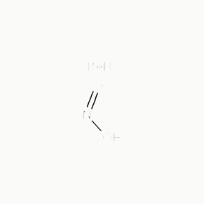 O=NO.[BeH2]